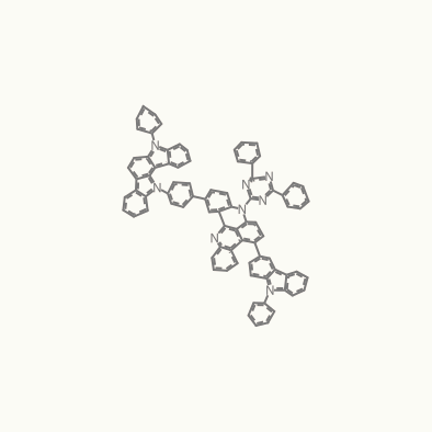 c1ccc(-c2nc(-c3ccccc3)nc(N3c4ccc(-c5ccc(-n6c7ccccc7c7ccc8c(c9ccccc9n8-c8ccccc8)c76)cc5)cc4-c4nc5ccccc5c5c(-c6ccc7c(c6)c6ccccc6n7-c6ccccc6)ccc3c45)n2)cc1